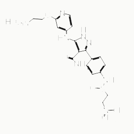 COCCOc1cc(Nc2[nH]nc(-c3ccc(N[S+]([O-])CCN(C)C)cc3)c2C(N)=O)ccn1